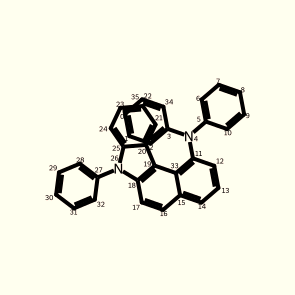 c1ccc(N(c2ccccc2)c2cccc3ccc4c(c5ccccc5n4-c4ccccc4)c23)cc1